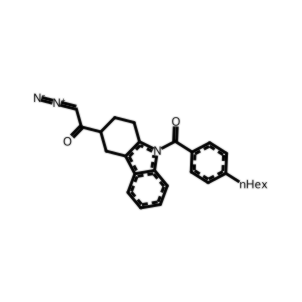 CCCCCCc1ccc(C(=O)n2c3c(c4ccccc42)CC(C(=O)C=[N+]=[N-])CC3)cc1